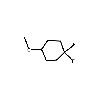 CO[C]1CCC(F)(F)CC1